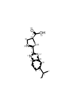 CC(C)c1ccc2nc(C3=NC[C@@H](C(=O)O)S3)sc2c1